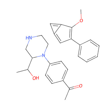 CC(=O)c1ccc(N2CCNCC2C(C)O)cc1.COc1c(-c2ccccc2)cc2cc1-2